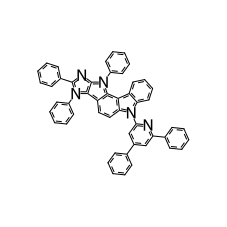 c1ccc(-c2cc(-c3ccccc3)nc(-n3c4ccccc4c4c3ccc3c5c(nc(-c6ccccc6)n5-c5ccccc5)n(-c5ccccc5)c34)c2)cc1